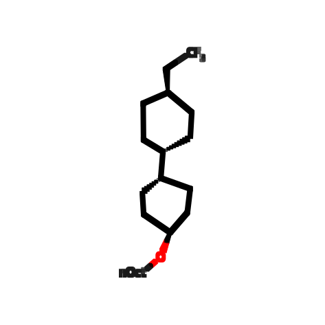 CCCCCCCCO[C@H]1CC[C@H]([C@H]2CC[C@H](CC(F)(F)F)CC2)CC1